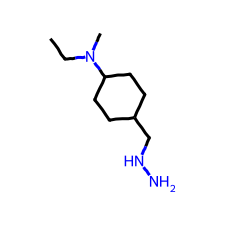 CCN(C)C1CCC(CNN)CC1